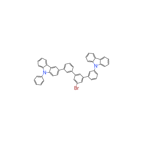 Brc1cc(-c2cccc(-c3ccc4c(c3)c3ccccc3n4-c3ccccc3)c2)cc(-c2cccc(-n3c4ccccc4c4ccccc43)c2)c1